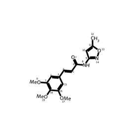 COc1cc(/C=C/C(=O)Nc2cc(C)on2)cc(OC)c1OC